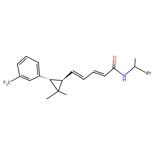 CC(C)C(C)NC(=O)C=CC=C[C@@H]1[C@@H](c2cccc(C(F)(F)F)c2)C1(C)C